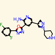 Nc1ncc(-c2cnn(C3CCNCC3)c2)cc1-c1nnc(-c2cc(F)ccc2F)o1